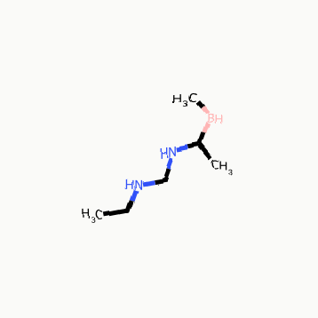 CBC(C)NCNCC